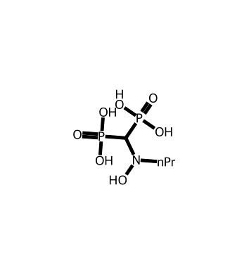 CCCN(O)C(P(=O)(O)O)P(=O)(O)O